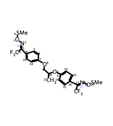 CSO/N=C(/c1ccc(OCC(C)Oc2ccc(/C(=N/OSC)C(F)(F)F)cc2)cc1)C(F)(F)F